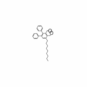 CCCCCCCCCc1cc(-c2ccccc2)c(-c2ccccc2)c(C=O)c1C=O